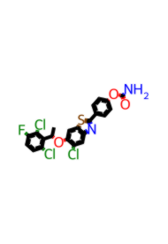 CC(Oc1cc2sc(-c3ccc(OC(N)=O)cc3)nc2cc1Cl)c1c(Cl)ccc(F)c1Cl